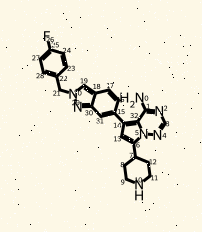 Nc1ncnn2c(C3CCNCC3)cc(-c3ccc4cn(Cc5ccc(F)cc5)nc4c3)c12